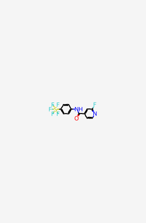 O=C(Nc1ccc(S(F)(F)(F)(F)F)cc1)c1ccnc(F)c1